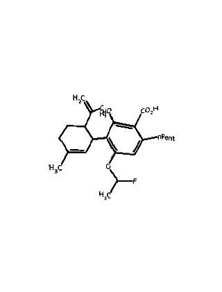 C=C(C)C1CCC(C)=CC1c1c(OC(C)F)cc(CCCCC)c(C(=O)O)c1O